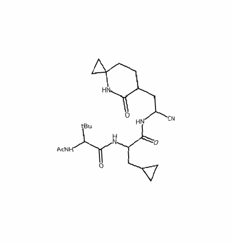 CC(=O)NC(C(=O)NC(CC1CC1)C(=O)NC(C#N)CC1CCC2(CC2)NC1=O)C(C)(C)C